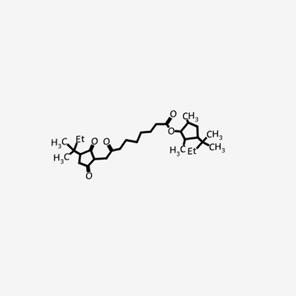 CCC(C)(C)C1CC(=O)C(CC(=O)CCCCCCC(=O)OC2C(C)CC(C(C)(C)CC)C2C)C1=O